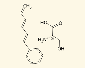 C=CC=CC=Cc1ccccc1.N[C@@H](CO)C(=O)O